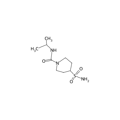 CC(C)NC(=O)N1CCC(S(N)(=O)=O)CC1